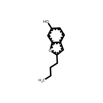 CCCCc1cc2ccc(O)cc2o1